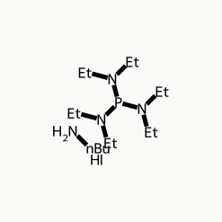 CCCCN.CCN(CC)P(N(CC)CC)N(CC)CC.I